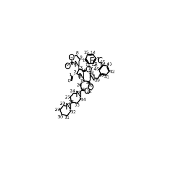 C=C[C@@H]1[C@H](N2C(=O)OC[C@@H]2c2ccccc2)C(=O)N1[C@H](CC(=O)N1CCC(N2CCCCC2)CC1)C(=O)N(C)Cc1cccc(C(F)(F)F)c1